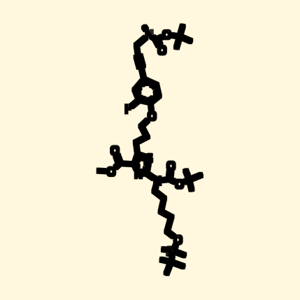 COC(=O)c1nc(N(CCCCCO[Si](C)(C)C(C)(C)C)C(=O)OC(C)(C)C)sc1CCCOc1ccc(C#CCN(C)C(=O)OC(C)(C)C)cc1F